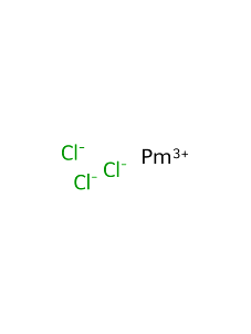 [Cl-].[Cl-].[Cl-].[Pm+3]